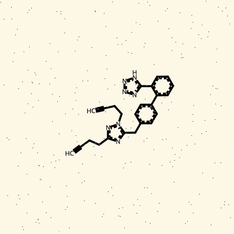 C#CCCc1nc(Cc2ccc(-c3ccccc3-c3nnn[nH]3)cc2)n(CCC#C)n1